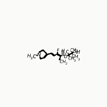 C=C/C(BOC(C)(C)C(C)(C)S)=C(F)\C=C\C1=CCN(C)CC1